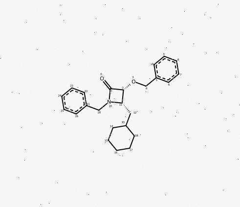 O=C1[C@H](OCc2ccccc2)[C@H](CC2CCCCC2)N1Cc1ccccc1